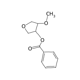 COC1COCC1OC(=O)c1ccccc1